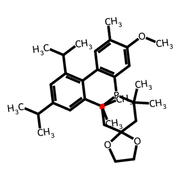 COc1cc(P2CCC3(CC2(C)C)OCCO3)c(-c2c(C(C)C)cc(C(C)C)cc2C(C)C)cc1C